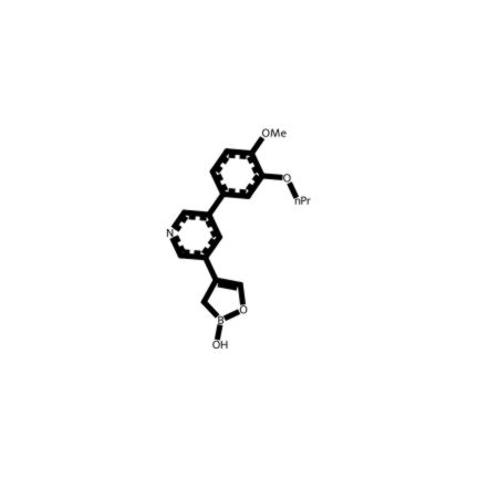 CCCOc1cc(-c2cncc(C3=COB(O)C3)c2)ccc1OC